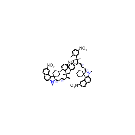 C=C(/C=C/C=C1/N(C)c2ccc3ccc([N+](=O)[O-])cc3c2C12CCCCC2)C(C)(Cc1ccc(CC(C)(C(=C)/C=C/C=C2/N(C)c3ccc4ccc([N+](=O)[O-])cc4c3C23CCCCC3)c2cc([N+](=O)[O-])ccc2C)cc1)c1cc([N+](=O)[O-])ccc1C